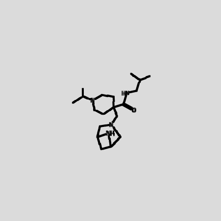 CC(C)CNC(=O)C1(CN2CC3CC(C2)N3)CCN(C(C)C)CC1